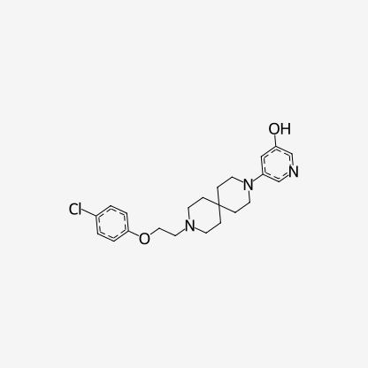 Oc1cncc(N2CCC3(CCN(CCOc4ccc(Cl)cc4)CC3)CC2)c1